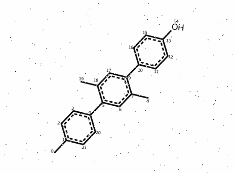 Cc1ccc(-c2cc(C)c(-c3ccc(O)cc3)cc2C)cc1